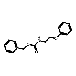 O=C(NCCOc1ccccc1)OCc1ccccc1